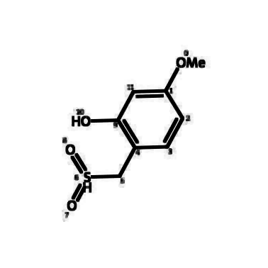 COc1ccc(C[SH](=O)=O)c(O)c1